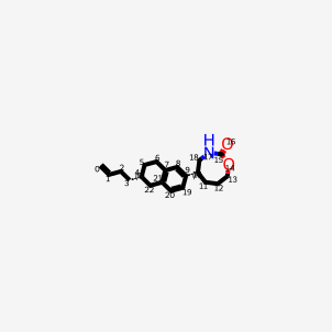 C=CCC[C@@H]1CCc2cc([C@H]3CCCOC(=O)NC3)ccc2C1